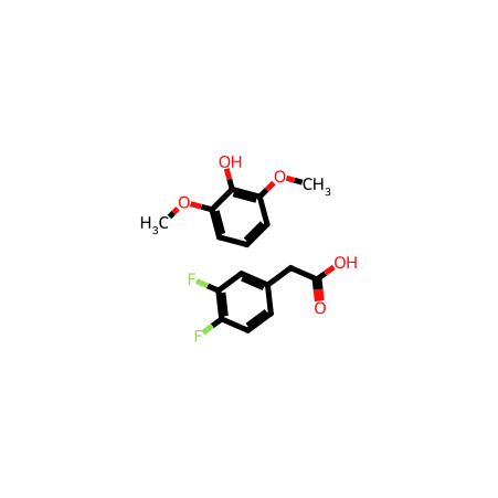 COc1cccc(OC)c1O.O=C(O)Cc1ccc(F)c(F)c1